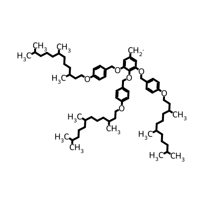 [CH2]c1cc(OCc2ccc(OCCC(C)CCCC(C)CCCC(C)C)cc2)c(OCc2ccc(OCCC(C)CCCC(C)CCCC(C)C)cc2)c(OCc2ccc(OCCC(C)CCCC(C)CCCC(C)C)cc2)c1